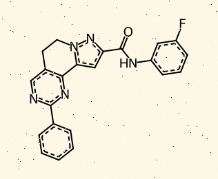 O=C(Nc1cccc(F)c1)c1cc2n(n1)CCc1cnc(-c3ccccc3)nc1-2